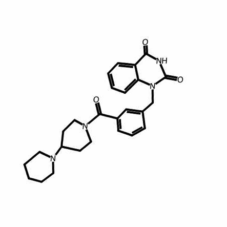 O=C(c1cccc(Cn2c(=O)[nH]c(=O)c3ccccc32)c1)N1CCC(N2CCCCC2)CC1